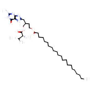 CCCCCCCCCCCCCCCCCCCCCC(=O)OCCC(COC(=O)[C@@H](N)C(C)C)Cc1nc2nc(N)[nH]c(=O)c2[nH]1